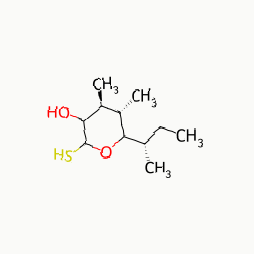 CC[C@H](C)C1OC(S)C(O)[C@@H](C)[C@@H]1C